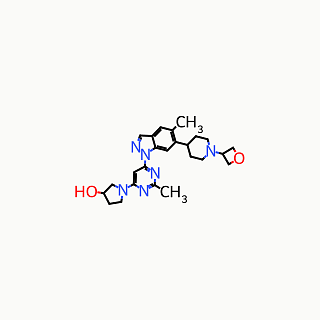 Cc1nc(N2CCC(O)C2)cc(-n2ncc3cc(C)c(C4CCN(C5COC5)CC4)cc32)n1